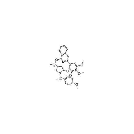 COc1ccc([C@H](C)N2CC([C@@H](C)Oc3nc(-c4cc(OC)c(OC)c(OC)c4)cc4ncccc34)CC2=O)cc1